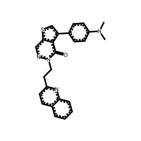 CN(C)c1ccc(-c2csc3cnn(CCc4ccc5ccccc5n4)c(=O)c23)cc1